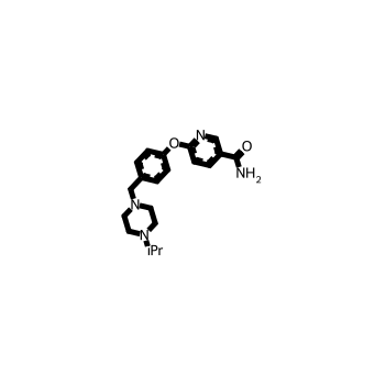 CC(C)N1CCN(Cc2ccc(Oc3ccc(C(N)=O)cn3)cc2)CC1